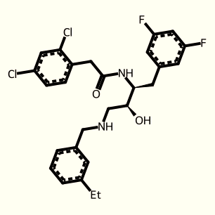 CCc1cccc(CNC[C@H](O)[C@H](Cc2cc(F)cc(F)c2)NC(=O)Cc2ccc(Cl)cc2Cl)c1